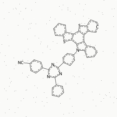 N#Cc1ccc(-c2nc(-c3ccccc3)nc(-c3ccc(-n4c5ccccc5c5c6c7ccccc7sc6c6c7ccccc7sc6c54)cc3)n2)cc1